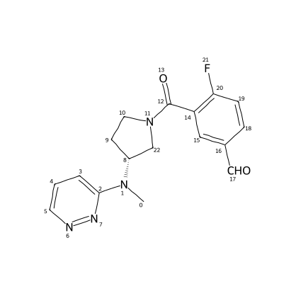 CN(c1cccnn1)[C@@H]1CCN(C(=O)c2cc(C=O)ccc2F)C1